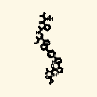 C=C(N/C=C(/c1csc2c(-c3ccc(-c4cnc(C5C=CCN5C(=O)C(NC(=O)OC)C(C)C)[nH]4)cc3)csc12)C(C)CC)C1CCCN1C(=O)C(NC)C(C)C